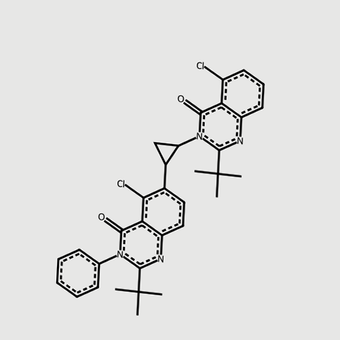 CC(C)(C)c1nc2ccc(C3CC3n3c(C(C)(C)C)nc4cccc(Cl)c4c3=O)c(Cl)c2c(=O)n1-c1ccccc1